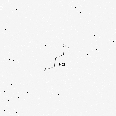 Cl.[CH2]CCCF